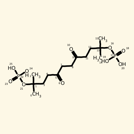 CC(C)(CCC(=O)CCC(=O)CCC(C)(C)OP(=O)(O)O)OP(=O)(O)O